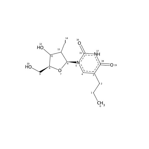 CCCc1cn([C@H]2O[C@@H](CO)C(O)C2I)c(=O)[nH]c1=O